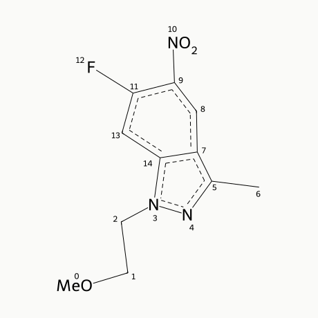 COCCn1nc(C)c2cc([N+](=O)[O-])c(F)cc21